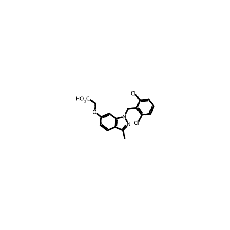 Cc1nn(Cc2c(Cl)cccc2Cl)c2cc(OCC(=O)O)ccc12